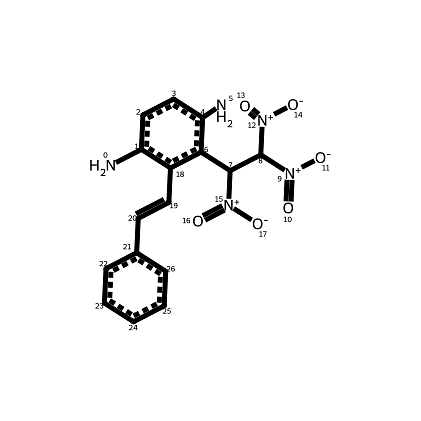 Nc1ccc(N)c(C(C([N+](=O)[O-])[N+](=O)[O-])[N+](=O)[O-])c1C=Cc1ccccc1